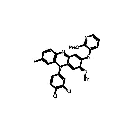 COc1ncccc1Nc1cc2nc3ccc(F)cc3n(-c3ccc(Cl)c(Cl)c3)c-2c/c1=N\C(C)C